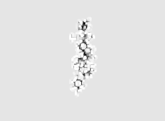 CC(N(Cc1ccc(F)cc1)C(=O)CN1C(=O)O[C@@]2(CCc3cc(NC(=O)c4cnn(C)c4)ccc32)C1=O)C(F)(F)F